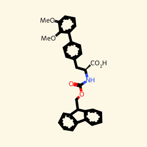 COc1cccc(-c2ccc(C[C@H](NC(=O)OCC3c4ccccc4-c4ccccc43)C(=O)O)cc2)c1OC